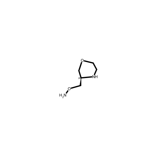 NOC[C@H]1COCCN1